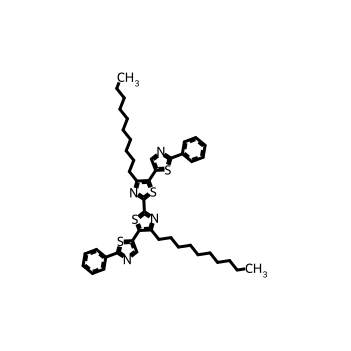 CCCCCCCCCCc1nc(-c2nc(CCCCCCCCCC)c(-c3cnc(-c4ccccc4)s3)s2)sc1-c1cnc(-c2ccccc2)s1